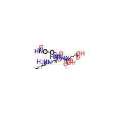 CCCCCC[C@H](N)CNCC[C@H](C)C(=O)N[C@H](Cc1ccc(-c2ccc(NC(C)=O)cc2)cc1)C(=O)NCC[C@@H](NC(=O)CCCC(=O)O)C(=O)O